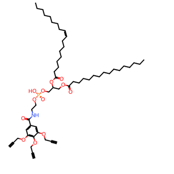 C#CCOc1cc(C(=O)NCCOP(=O)(O)OCC(COC(=O)CCCCCCCCCCCCCCC)OC(=O)CCCCCCC/C=C\CCCCCCCC)cc(OCC#C)c1OCC#C